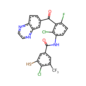 O=C(Nc1ccc(F)c(C(=O)c2ccc3nccnc3c2)c1Cl)c1cc(S)c(Cl)c(C(F)(F)F)c1